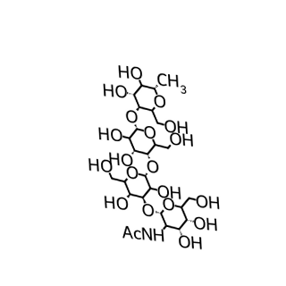 CC(=O)NC1[C@H](O[C@@H]2C(O)[C@@H](O[C@H]3C(CO)O[C@@H](O[C@@H]4C(CO)O[C@@H](C)C(O)[C@H]4O)C(O)[C@H]3O)OC(CO)[C@@H]2O)OC(CO)[C@H](O)[C@@H]1O